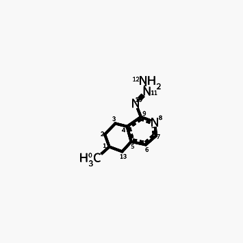 CC1CCc2c(ccnc2N=NN)C1